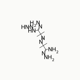 CC(C)(N=NC(C)(C)C(=NN)NN=N)C(N)=NN